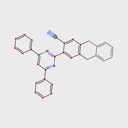 N#Cc1cc2c(cc1-c1nc(-c3ccccc3)cc(-c3ccccc3)n1)C1c3ccccc3C2c2cc(C#N)c(-c3nc(-c4ccccc4)cc(-c4ccccc4)n3)cc21